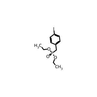 CCOP(=O)(Cc1ccc(I)cc1)OCC